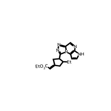 CCOC(=O)C=C1CC(CC)C(c2nnc3cnc4[nH]ccc4n23)C1